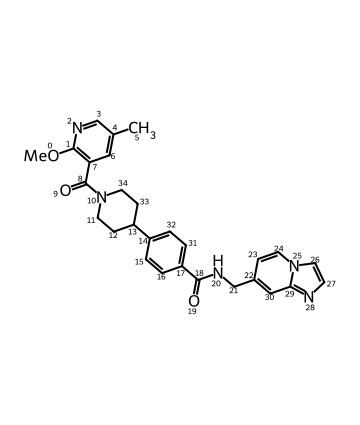 COc1ncc(C)cc1C(=O)N1CCC(c2ccc(C(=O)NCc3ccn4ccnc4c3)cc2)CC1